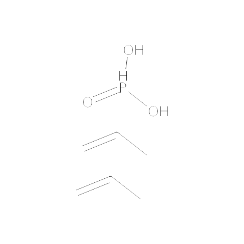 C=CC.C=CC.O=[PH](O)O